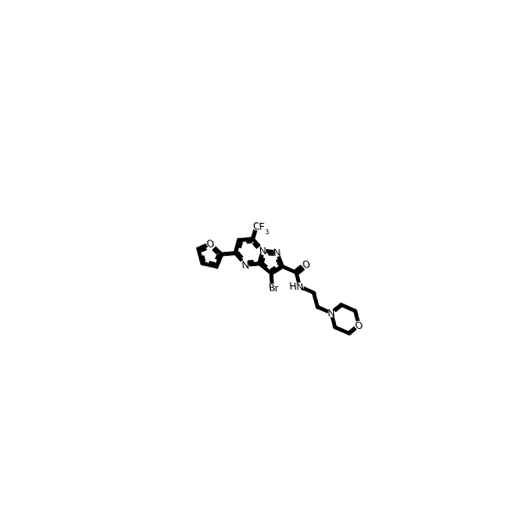 O=C(NCCN1CCOCC1)c1nn2c(C(F)(F)F)cc(-c3ccco3)nc2c1Br